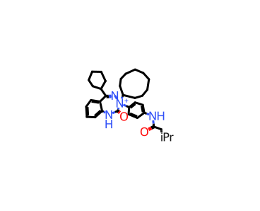 CC(C)CC(=O)Nc1ccc([N+]2(C3CCCCCCCCC3)N=C(C3CCCCC3)c3ccccc3NC2=O)cc1